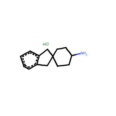 Cl.NC1CCC2(CC1)Cc1ccccc1C2